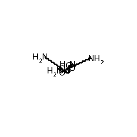 NCCCCCCCCCCC(N)OC(=O)c1cccc(C(=O)OC(N)CCCCCCCCCCN)c1